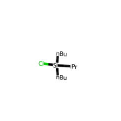 CCCC[Si](Cl)(CCCC)C(C)C